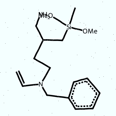 C=CN(CCC(CN)C[Si](C)(OC)OC)Cc1ccccc1